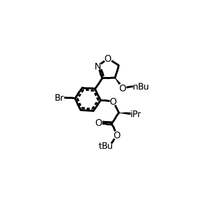 CCCCO[C@@H]1CON=C1c1cc(Br)ccc1O[C@H](C(=O)OC(C)(C)C)C(C)C